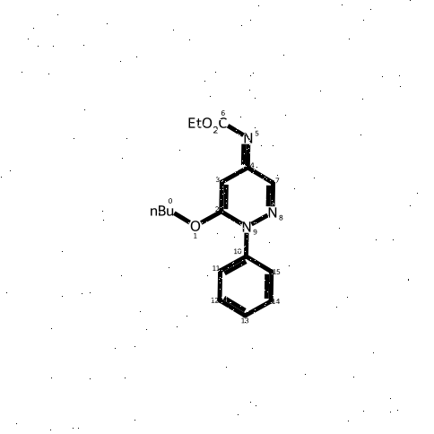 CCCCOc1c/c(=N\C(=O)OCC)cnn1-c1ccccc1